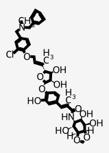 CC(=Cc1ccc(O[C@@H]2O[C@H](C(C)=CCOc3ccc(CN(C)Cc4ccccc4)cc3Cl)[C@@H](O)[C@@H]2O)c(O)c1)C(=O)N[C@@H]1[C@H](O)[C@@H](O)[C@H]2OCO[C@H]2[C@@H]1O